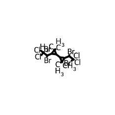 CC1(C)C(C(Br)C(Cl)(Cl)Br)C1C1C(C(Br)C(Cl)(Cl)Br)C1(C)C